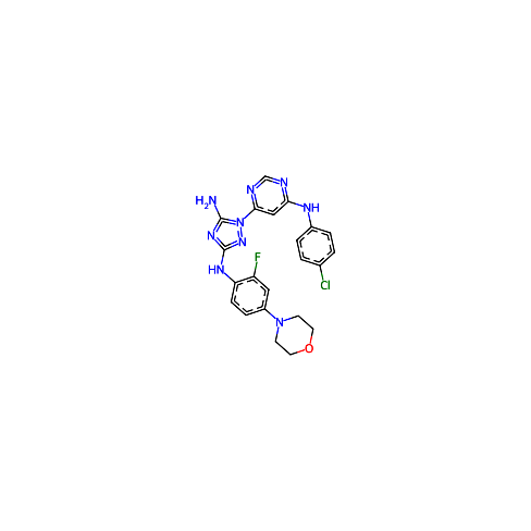 Nc1nc(Nc2ccc(N3CCOCC3)cc2F)nn1-c1cc(Nc2ccc(Cl)cc2)ncn1